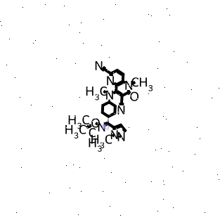 Cn1nccc1/C(=N/OC(C)(C)C)[C@H]1CC[C@H](N(C)c2c(C#N)c(=O)n(C)c3ccc(C#N)nc23)CC1